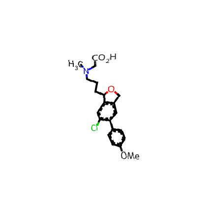 COc1ccc(-c2cc3c(cc2Cl)C(CCCN(C)CC(=O)O)OC3)cc1